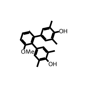 COc1cc[c]c(-c2cc(C)c(O)c(C)c2)c1-c1cc(C)c(O)c(C)c1